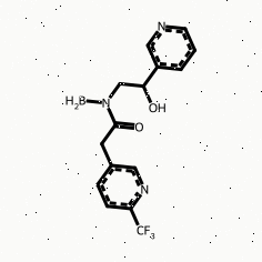 BN(CC(O)c1cccnc1)C(=O)Cc1ccc(C(F)(F)F)nc1